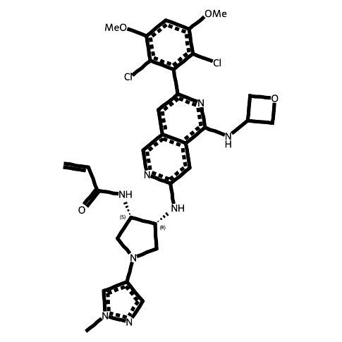 C=CC(=O)N[C@H]1CN(c2cnn(C)c2)C[C@H]1Nc1cc2c(NC3COC3)nc(-c3c(Cl)c(OC)cc(OC)c3Cl)cc2cn1